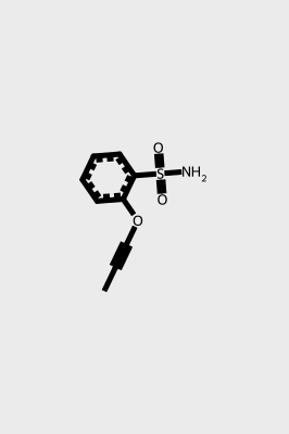 CC#COc1ccccc1S(N)(=O)=O